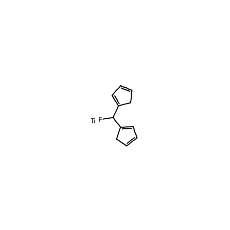 FC(C1=CC=CC1)C1=CC=CC1.[Ti]